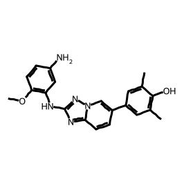 COc1ccc(N)cc1Nc1nc2ccc(-c3cc(C)c(O)c(C)c3)cn2n1